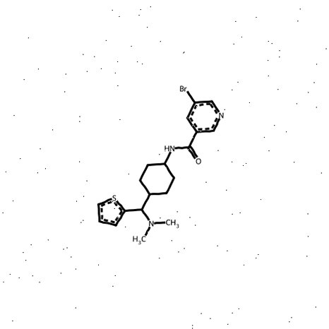 CN(C)C(c1cccs1)C1CCC(NC(=O)c2cncc(Br)c2)CC1